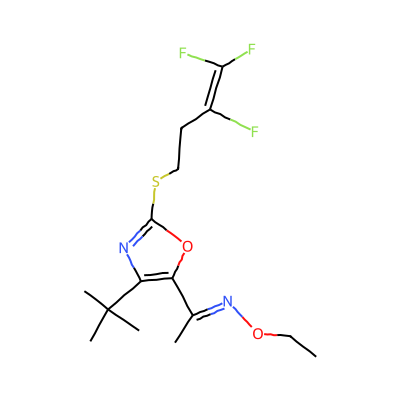 CCO/N=C(\C)c1oc(SCCC(F)=C(F)F)nc1C(C)(C)C